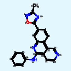 Cc1noc(-c2ccc3c(c2)nc(Nc2ccccc2)c2ccncc23)n1